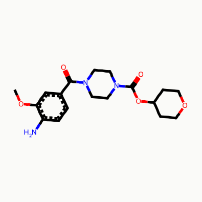 COc1cc(C(=O)N2CCN(C(=O)OC3CCOCC3)CC2)ccc1N